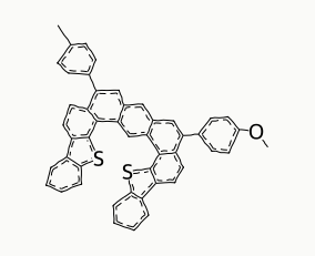 COc1ccc(-c2cc3cc4cc(-c5ccc(C)cc5)c5ccc6c7ccccc7sc6c5c4cc3c3c2ccc2c4ccccc4sc23)cc1